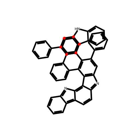 c1ccc(-c2ccccc2-c2ccccc2-c2c3c(cc(-c4ccccc4)c2-c2cccc4[nH]c5ccccc5c24)N=c2ccc4c(c2-3)N=c2ccccc2=4)cc1